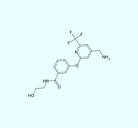 NCc1cc(Oc2cccc(C(=O)NCCO)c2)nc(C(F)(F)F)c1